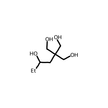 CCC(O)CC(CO)(CO)CO